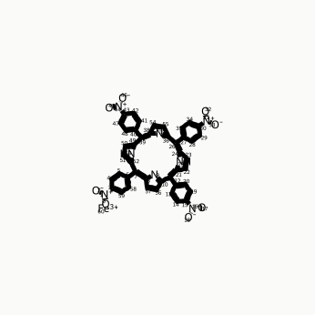 O=[N+]([O-])c1ccc(-c2c3nc(c(-c4ccc([N+](=O)[O-])cc4)c4ccc([nH]4)c(-c4ccc([N+](=O)[O-])cc4)c4nc(c(-c5ccc([N+](=O)[O-])cc5)c5ccc2[nH]5)C=C4)C=C3)cc1.[Fe+3]